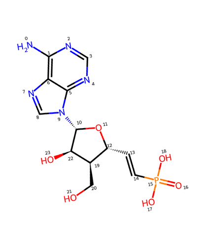 Nc1ncnc2c1ncn2[C@@H]1O[C@H](/C=C/P(=O)(O)O)[C@@H](CO)[C@H]1O